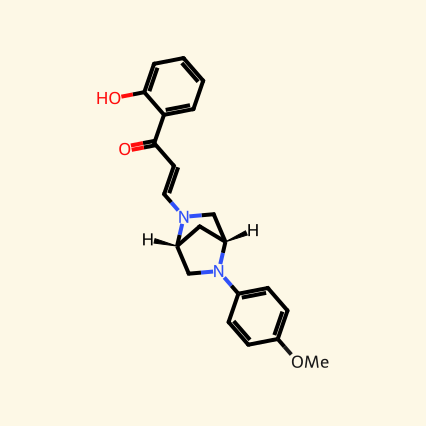 COc1ccc(N2C[C@H]3C[C@@H]2CN3/C=C/C(=O)c2ccccc2O)cc1